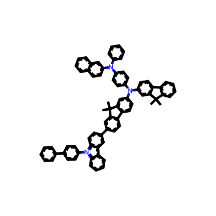 CC1(C)c2ccccc2-c2ccc(N(c3ccc(N(c4ccccc4)c4ccc5ccccc5c4)cc3)c3ccc4c(c3)C(C)(C)c3cc(-c5ccc6c(c5)c5ccccc5n6-c5ccc(-c6ccccc6)cc5)ccc3-4)cc21